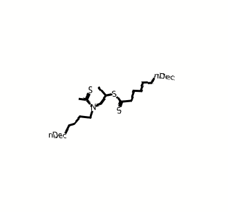 CCCCCCCCCCCCCCCC(=S)SC(C)CN(CCCCCCCCCCCCCC)C(C)=S